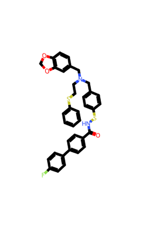 O=C(NSc1ccc(CN(CCSc2ccccc2)Cc2ccc3c(c2)OCO3)cc1)c1ccc(-c2ccc(F)cc2)cc1